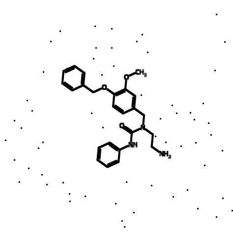 COc1cc(CN(CCN)C(=O)Nc2ccccc2)ccc1OCc1ccccc1